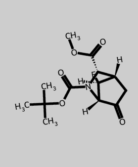 COC(=O)[C@@H]1[C@@H]2CC(=O)[C@@H]([C@H]2F)N1C(=O)OC(C)(C)C